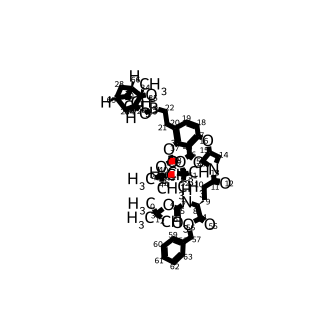 CC(C)(C)OC(=O)N[C@H](CCC(=O)N1CC(Oc2ccc(CCB3O[C@@H]4C[C@@H]5C[C@@H](C5(C)C)[C@]4(C)O3)c(OC(=O)OC(C)(C)C)c2C(=O)OC(C)(C)C)C1)C(=O)OCc1ccccc1